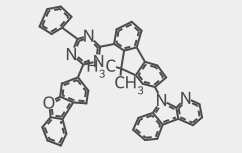 CC1(C)c2cc(-n3c4ccccc4c4cccnc43)ccc2-c2cccc(-c3nc(-c4ccccc4)nc(-c4ccc5c(c4)oc4ccccc45)n3)c21